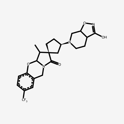 CC1C2Oc3ccc(C(F)(F)F)cc3CN2C(=O)[C@]12CC[C@@H](N1CCC3C(O)=NOC3C1)C2